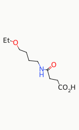 CCOCCCCNC(=O)CCC(=O)O